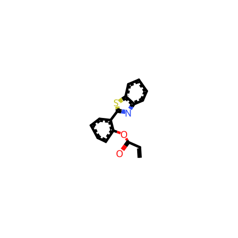 C=CC(=O)Oc1ccccc1-c1nc2ccccc2s1